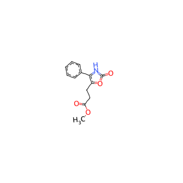 COC(=O)CCc1oc(=O)[nH]c1-c1ccccc1